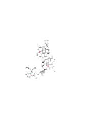 Cc1ccc(C2(c3ccc(C)cc3)c3cc4c(cc3-c3sc5cc(-c6ccc(C/C=C7\C(=O)c8ccccc8C7=C(C#N)C#N)s6)ccc5c32)C(c2ccc(C)cc2)(c2ccc(C)cc2)c2c-4sc3cc(-c4cccs4)sc23)cc1